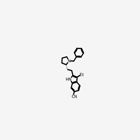 CCc1c(CC[C@@H]2CCCN2Cc2ccccc2)[nH]c2cc(C#N)ccc12